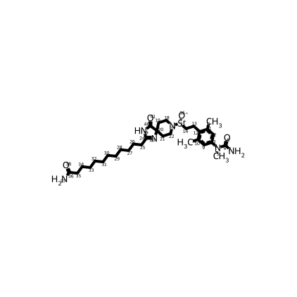 Cc1cc(N(C)C(N)=O)cc(C)c1CC[S+]([O-])N1CCC2(CC1)N=C(CCCCCCCCCCCC(N)=O)NC2=O